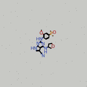 COc1cc(P(C)(C)=O)ccc1Nc1nc(NC2CCOC2)c2c(C#N)c[nH]c2n1